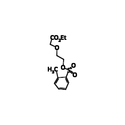 CCOC(=O)COCCOS(=O)(=O)c1ccccc1C